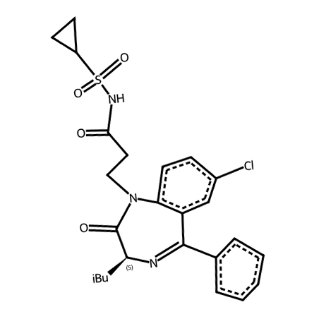 CCC(C)[C@@H]1N=C(c2ccccc2)c2cc(Cl)ccc2N(CCC(=O)NS(=O)(=O)C2CC2)C1=O